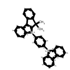 CC1(C)c2ccccc2-c2c1n(-c1ccc(-n3c4ccccc4c4ccccc43)cc1)c1ccccc21